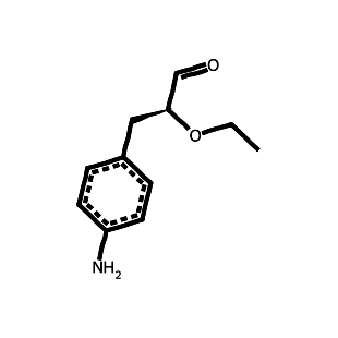 CCO[C@H](C=O)Cc1ccc(N)cc1